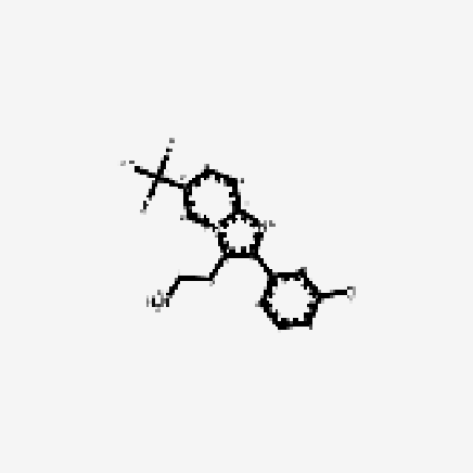 NCCc1c(-c2cccc(Cl)c2)nc2ccc(C(F)(F)F)cn12